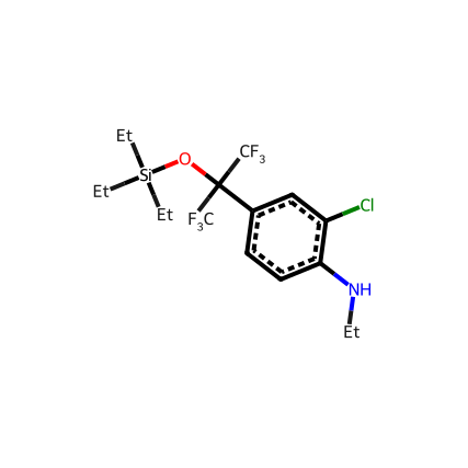 CCNc1ccc(C(O[Si](CC)(CC)CC)(C(F)(F)F)C(F)(F)F)cc1Cl